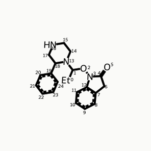 CCC(ON1C(=O)Cc2ccccc21)N1CCNCC1c1ccccc1